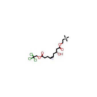 C[Si](C)(C)CCOC(=O)C[C@H](O)C/C=C\CCC(=O)OCC(Cl)(Cl)Cl